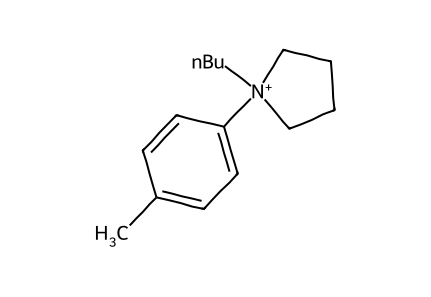 CCCC[N+]1(c2ccc(C)cc2)CCCC1